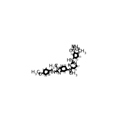 COc1ccc(CNc2nc3cc(N(C)c4ccnc(Nc5ccc(C)c(S(N)(=O)=O)c5)n4)ccc3n2C)cc1